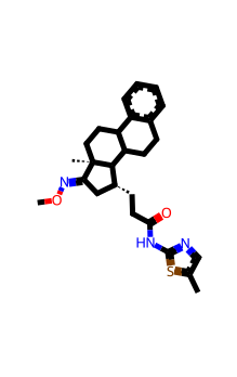 CON=C1C[C@@H](CCC(=O)Nc2ncc(C)s2)C2C3CCc4ccccc4C3CC[C@]12C